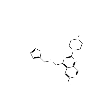 CC(C)c1cc2c(CNCc3cccs3)nc(N3CCN(C)CC3)nc2cn1